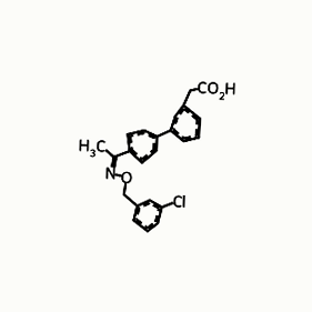 CC(=NOCc1cccc(Cl)c1)c1ccc(-c2cccc(CC(=O)O)c2)cc1